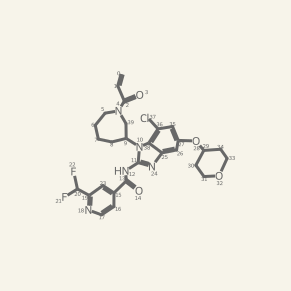 C=CC(=O)N1CCCCC(n2c(NC(=O)c3ccnc(C(F)F)c3)nc3cc(OC4CCOCC4)cc(Cl)c32)C1